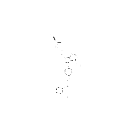 CC#CC(=O)N[C@H]1C[C@@H](n2nc(-c3ccc(CNC(=O)c4ccccc4OC)cc3)c3c(N)ncnc32)C1